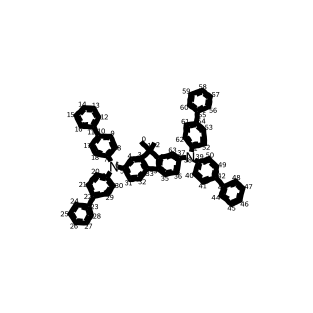 CC1(C)c2cc(N(c3ccc(-c4ccccc4)cc3)c3ccc(-c4ccccc4)cc3)ccc2-c2ccc(N(c3ccc(-c4ccccc4)cc3)c3ccc(-c4ccccc4)cc3)cc21